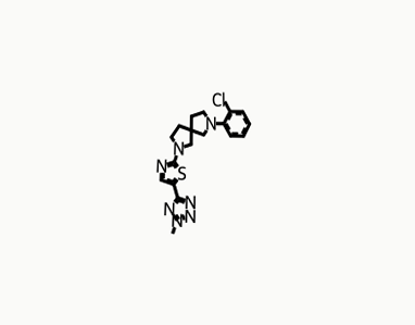 Cn1nnc(-c2cnc(N3CCC4(CCN(c5ccccc5Cl)C4)C3)s2)n1